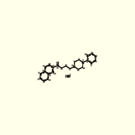 Br.c1cnc(N2CCN(CCCNc3ccc4ccccc4n3)CC2)nc1